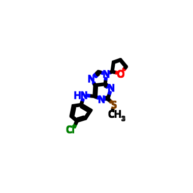 CSc1nc(Nc2ccc(Cl)cc2)c2ncn(C3CCCO3)c2n1